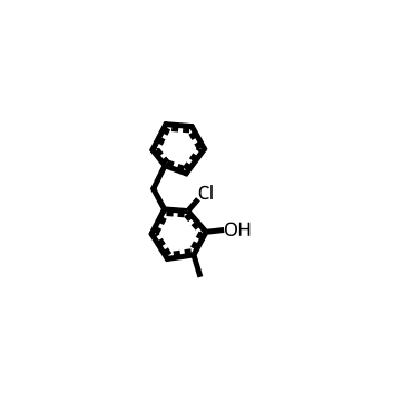 Cc1ccc(Cc2ccccc2)c(Cl)c1O